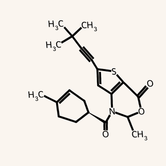 CC1=CC[C@@H](C(=O)N2c3cc(C#CC(C)(C)C)sc3C(=O)OC2C)CC1